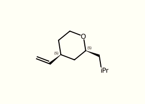 C=C[C@H]1CCO[C@@H](CC(C)C)C1